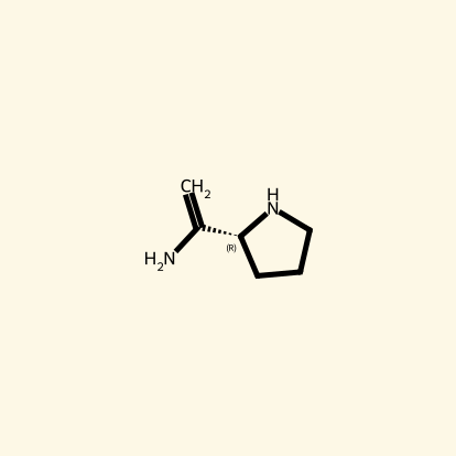 C=C(N)[C@H]1CCCN1